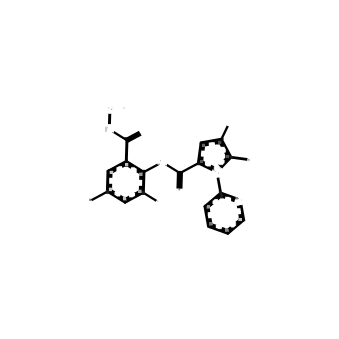 CC(=O)NNC(=O)c1cc(Cl)cc(C)c1NC(=O)c1cc(Cl)c(Cl)n1-c1ccccn1